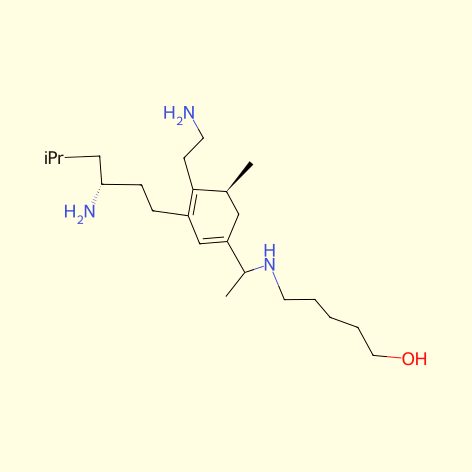 CC(C)C[C@@H](N)CCC1=C(CCN)[C@@H](C)CC(C(C)NCCCCCO)=C1